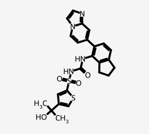 CC(C)(O)c1csc(S(=O)(=O)NC(=O)Nc2c(-c3ccn4ccnc4c3)ccc3c2CCC3)c1